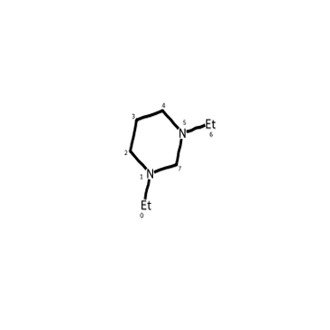 CCN1CCCN(CC)C1